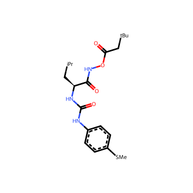 CSc1ccc(NC(=O)N[C@@H](CC(C)C)C(=O)NOC(=O)CC(C)(C)C)cc1